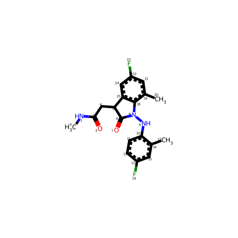 CNC(=O)CC1C(=O)N(Nc2ccc(F)cc2C)c2c(C)cc(F)cc21